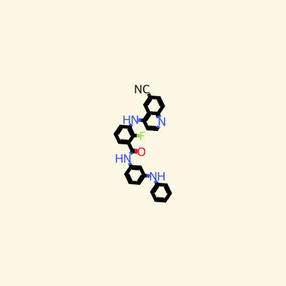 N#Cc1ccc2nccc(Nc3cccc(C(=O)Nc4cccc(Nc5ccccc5)c4)c3F)c2c1